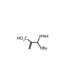 C=C(C(=O)O)C(CCCC)CCCCCC